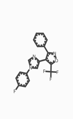 Fc1ccc(-n2cnc(-c3c(-c4ccccc4)noc3C(F)(F)F)c2)cc1